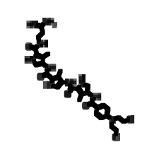 Cc1c(NC(=O)c2ccc(N(CCCl)CCCl)cc2)c[nH]c1C(=O)Nc1c[nH]c(C(=O)Nc2c[nH]c(C(=O)NCCC(=N)N)c2C)c1C